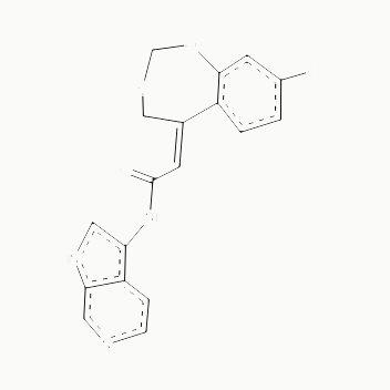 O=C(C=C1CCCOc2cc(C(F)(F)F)ccc21)Nc1c[nH]c2cnccc12